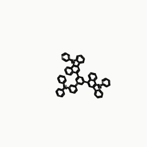 c1ccc(N(c2ccccc2)c2cccc(-c3cc(-c4cc5c6ccccc6n(-c6ccccc6)c5c5ccccc45)cc(-c4cc5c6ccccc6n(-c6ccccc6)c5c5ccccc45)c3)c2)cc1